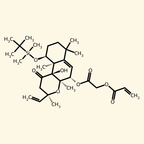 C=CC(=O)OCC(=O)O[C@H]1C=C2C(C)(C)CC[C@H](O[Si](C)(C)C(C)(C)C)[C@]2(C)[C@@]2(O)C(=O)C[C@](C)(C=C)O[C@]12C